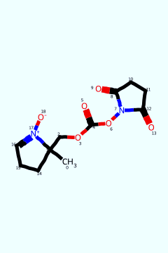 CC1(COC(=O)ON2C(=O)CCC2=O)CCC=[N+]1[O-]